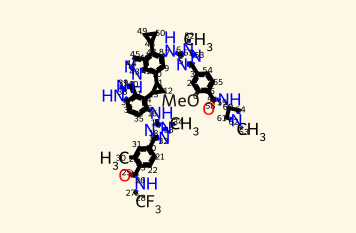 COc1cc(-c2nc(Nc3cc(C4CC4c4c(Nc5nc(-c6ccc(C(=O)NCC(F)(F)F)c(C)c6)nn5C)ccc5[nH]ncc45)c4[nH]ncc4c3C3CC3)n(C)n2)ccc1C(=O)NC1CN(C)C1